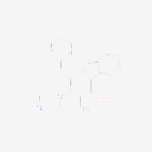 CCCCC(C(O)c1csc2ccccc12)C(CCc1ccccc1)N1CCNCC1